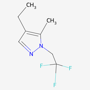 CCc1cnn(CC(F)(F)F)c1C